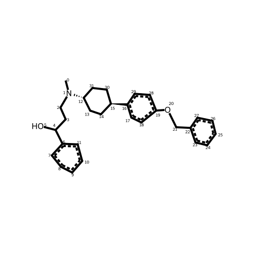 CN(CCC(O)c1ccccc1)[C@H]1CC[C@H](c2ccc(OCc3ccccc3)cc2)CC1